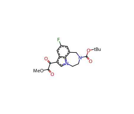 COC(=O)C(=O)c1cn2c3c(cc(F)cc13)CN(C(=O)OC(C)(C)C)CC2